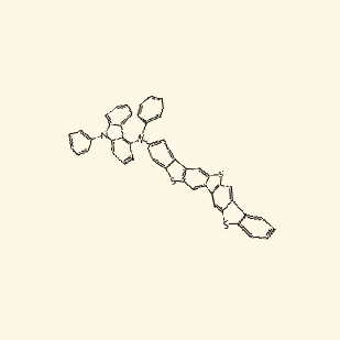 c1ccc(N(c2ccc3c(c2)sc2cc4c(cc23)sc2cc3c(cc24)sc2ccccc23)c2cccc3c2c2ccccc2n3-c2ccccc2)cc1